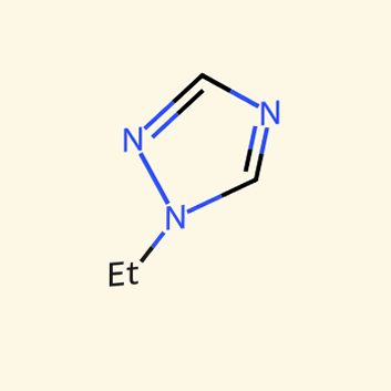 [CH2]Cn1cncn1